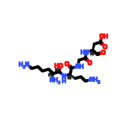 NCCCC[C@H](N)[C@@H](O)N[C@@H](CCCN)C(=O)NCC(=O)N[C@H](C=O)CC(=O)O